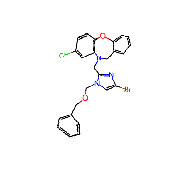 Clc1ccc2c(c1)N(Cc1nc(Br)cn1COCc1ccccc1)Cc1ccccc1O2